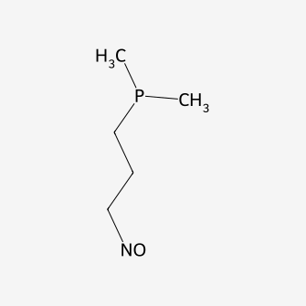 CP(C)CCCN=O